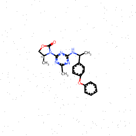 Cc1nc(NC(C)c2ccc(Oc3ccccc3)cc2)nc(N2C(=O)OC[C@@H]2C)n1